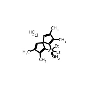 C[CH2][Zr](=[SiH2])([CH2]C)([C]1=C(C)C(C)=CC1)[C]1=C(C)C(C)=CC1.Cl.Cl